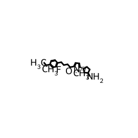 CC(C)c1ccc(CCCC(=O)c2ccc([C@H]3CCC(N)C3)n2C)c(F)c1